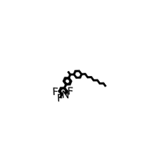 CCCCCCCCC1CCC(C(C)c2ccc(-c3cc(F)c(F)nc3F)cc2)CC1